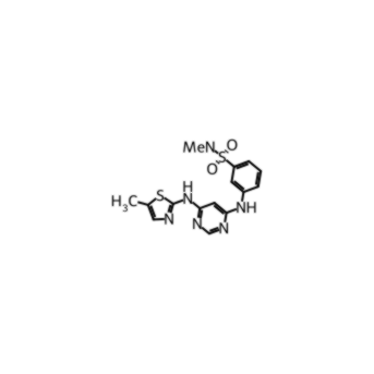 CNS(=O)(=O)c1cccc(Nc2cc(Nc3ncc(C)s3)ncn2)c1